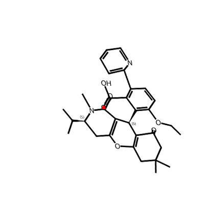 CCOc1ccc(-c2ccccn2)c(C(=O)O)c1[C@H]1C2=C(CC(C)(C)CC2=O)OC2=C1C(=O)N(C)[C@H](C(C)C)C2